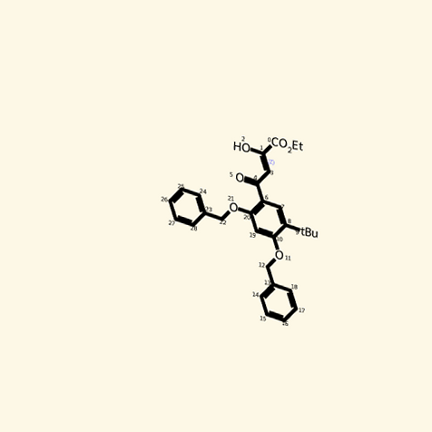 CCOC(=O)/C(O)=C/C(=O)c1cc(C(C)(C)C)c(OCc2ccccc2)cc1OCc1ccccc1